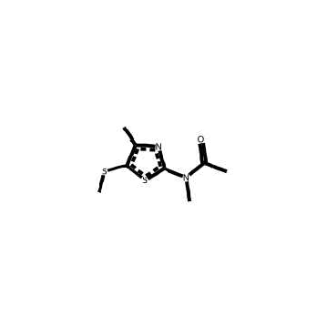 CSc1sc(N(C)C(C)=O)nc1C